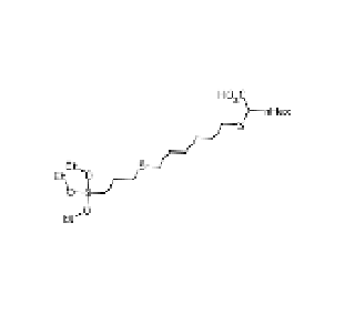 CCCCCCC(SCCCCCCSCCC[Si](OCC)(OCC)OCC)C(=O)O